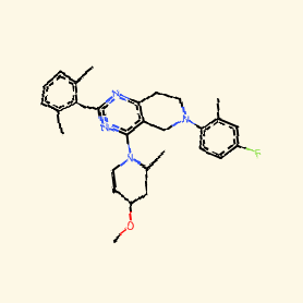 COC1CCN(c2nc(-c3c(C)cccc3C)nc3c2CN(c2ccc(F)cc2C)CC3)C(C)C1